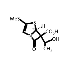 CSC1=CN2C(=O)C(C(=O)O)(C(C)O)[C@@H]2S1